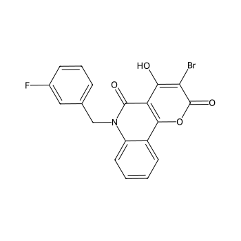 O=c1oc2c(c(O)c1Br)c(=O)n(Cc1cccc(F)c1)c1ccccc21